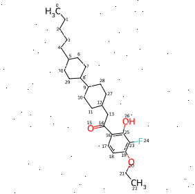 CCCCCC1CCC(C2CCC(CC(=O)c3ccc(OCC)c(F)c3O)CC2)CC1